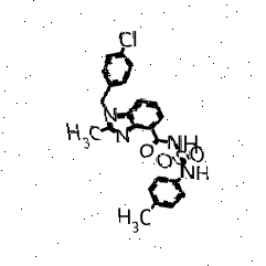 Cc1ccc(NS(=O)(=O)NC(=O)c2cccc3c2nc(C)n3Cc2ccc(Cl)cc2)cc1